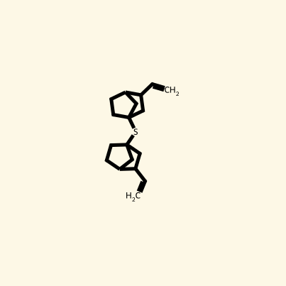 C=CC1CC2(SC34CCC(C3)C(C=C)C4)CCC1C2